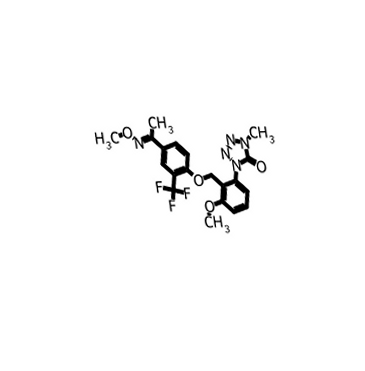 CON=C(C)c1ccc(OCc2c(OC)cccc2-n2nnn(C)c2=O)c(C(F)(F)F)c1